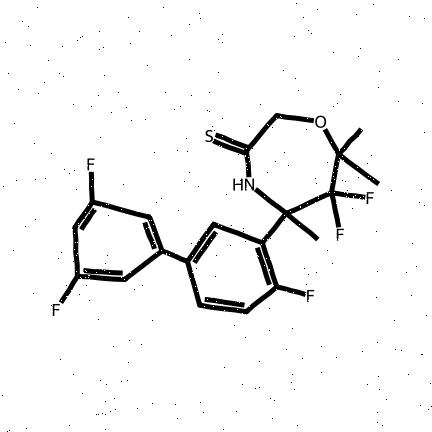 CC1(C)OCC(=S)NC(C)(c2cc(-c3cc(F)cc(F)c3)ccc2F)C1(F)F